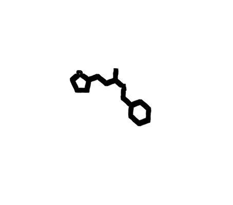 CC(CCC1CCCO1)SCC1CCCCC1